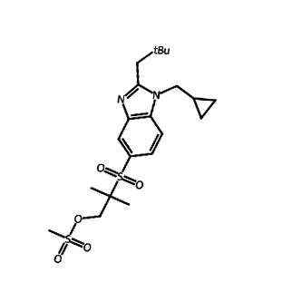 CC(C)(C)Cc1nc2cc(S(=O)(=O)C(C)(C)COS(C)(=O)=O)ccc2n1CC1CC1